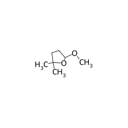 COC1CCC(C)(C)O1